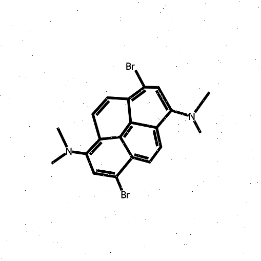 CN(C)c1cc(Br)c2ccc3c(N(C)C)cc(Br)c4ccc1c2c43